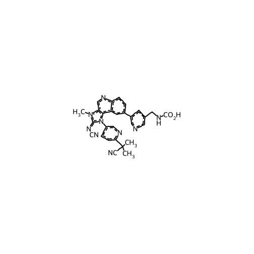 Cn1/c(=N/C#N)n(-c2ccc(C(C)(C)C#N)nc2)c2c3cc(-c4cncc(CNC(=O)O)c4)ccc3ncc21